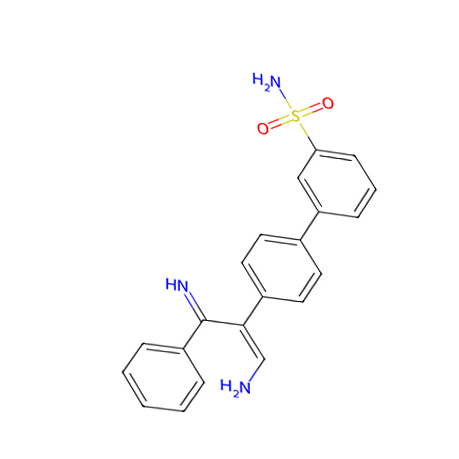 N=C(/C(=C\N)c1ccc(-c2cccc(S(N)(=O)=O)c2)cc1)c1ccccc1